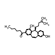 CCCCCC(=O)c1cc(C)c2c(c1)C=Cc1cc(O)ccc1/C2=C\CCN(C)C